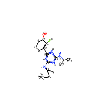 CC[C@@H](Nc1nc(/N=C(\C)CC#N)nc(C2=C(F)C(O)CCC2)n1)C(F)(F)F